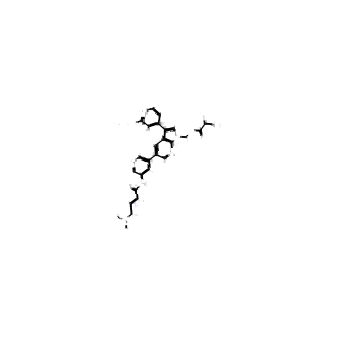 CCC(C)C(N)C(=O)OCn1cc(-c2ccnc(OC)c2)c2cc(-c3cncc(NC(=O)/C=C/CN(C)C)c3)cnc21